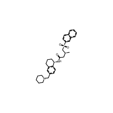 C[C@@H](CC(=O)N[C@@H]1CCCc2cc(CN3CCCCC3)ccc21)CS(=O)(=O)c1ccc2ccccc2c1